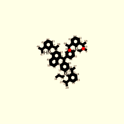 CCCN(c1ccc(C(c2ccc(N(CCC)c3c(C(C)C)cccc3C(C)C)cc2)c2ccc(Nc3c(C(C)C)cccc3C(C)C)c3ccccc23)cc1)c1c(C(C)C)cccc1C(C)C